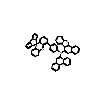 c1ccc2c(c1)Sc1c(-c3ccc(N(c4cc5ccccc5c5ccccc45)c4cc5ccccc5c5oc6ccccc6c45)cc3)cccc1C21c2ccccc2-c2ccccc21